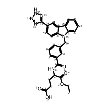 CCOC(=O)C(CCC(=O)O)NC(=O)c1cccc(Cn2c3ccccc3c3cc(-c4nn[nH]n4)ccc32)c1